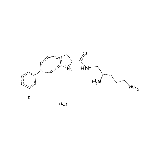 Cl.NCCCC(N)CNC(=O)c1cc2ccc(-c3cccc(F)c3)cc2[nH]1